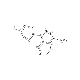 CNc1nnc(-c2ccc(Cl)cc2)c2ccccc12